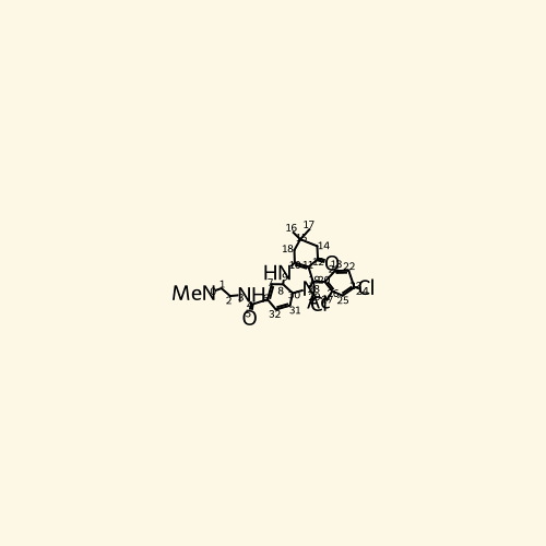 CNCCNC(=O)C1=CC2NC3=C(C(=O)CC(C)(C)C3)C(c3ccc(Cl)cc3Cl)N(C(C)=O)C2C=C1